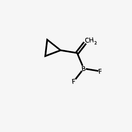 C=C(B(F)F)C1CC1